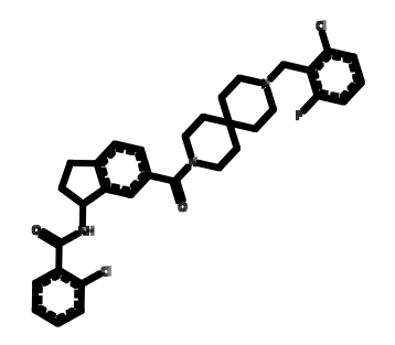 O=C(NC1CCc2ccc(C(=O)N3CCC4(CCN(Cc5c(F)cccc5Cl)CC4)CC3)cc21)c1ccccc1Cl